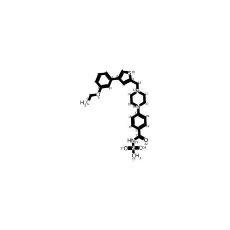 CCOc1cccc(-c2csc(CN3CCN(c4ccc(C(=O)NS(C)(=O)=O)cc4)CC3)c2)c1